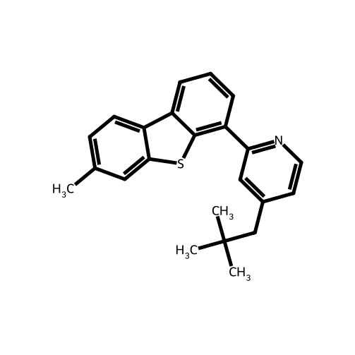 Cc1ccc2c(c1)sc1c(-c3cc(CC(C)(C)C)ccn3)cccc12